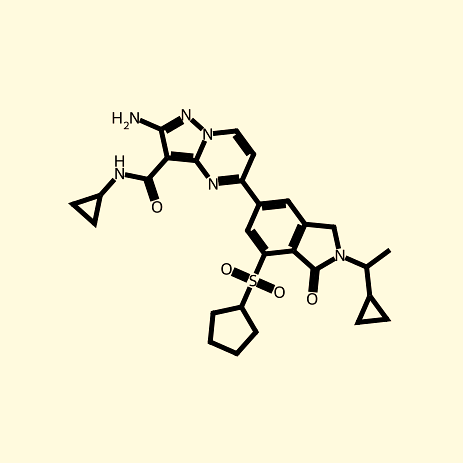 CC(C1CC1)N1Cc2cc(-c3ccn4nc(N)c(C(=O)NC5CC5)c4n3)cc(S(=O)(=O)C3CCCC3)c2C1=O